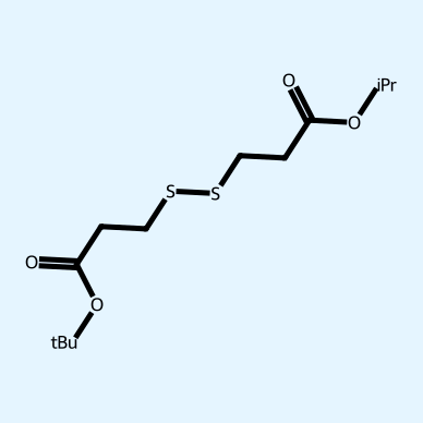 CC(C)OC(=O)CCSSCCC(=O)OC(C)(C)C